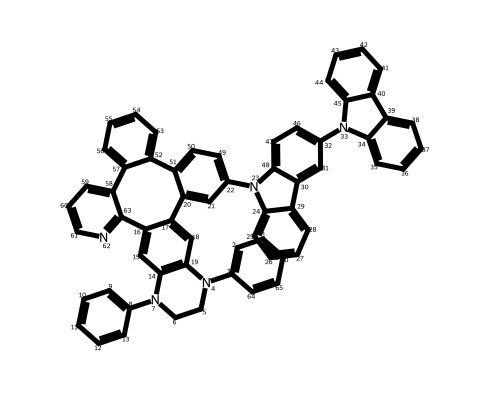 c1ccc(N2CCN(c3ccccc3)c3cc4c(cc32)-c2cc(-n3c5ccccc5c5cc(-n6c7ccccc7c7ccccc76)ccc53)ccc2-c2ccccc2-c2cccnc2-4)cc1